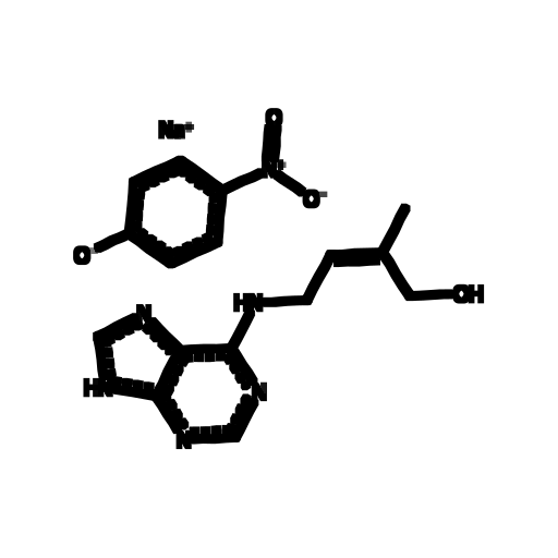 CC(=CCNc1ncnc2[nH]cnc12)CO.O=[N+]([O-])c1ccc([O-])cc1.[Na+]